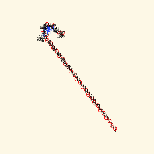 COCCOCCOCCOCCOCCOCCOCCOCCOCCOCCOCCOCCOCCOCCOCCOCCOCCOCCOCCOCCOCCOCCOCCOCCC(=O)N(CCC(=O)N[C@H](C(=O)N[C@@H](C)C(=O)Nc1ccc(COC(=O)C(C)(C)C)cc1)C(C)C)CCC(C)(C)C